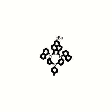 Cc1ccc(N2c3cccc(c3)N(c3cccc4ccccc34)c3cc(c4ccc5cc(C(C)(C)C)cc6ccc3c4c65)N(c3cccc4ccccc34)c3cccc2c3)cc1